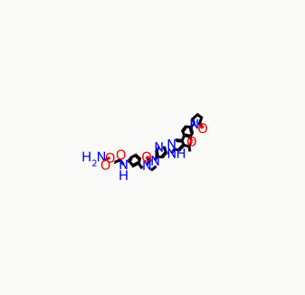 CC1Oc2cc(N3CCCC3=O)ccc2-c2cnc(Nc3cncc(N4CCN(Cc5cccc(NC(=O)COC(N)=O)c5)C4=O)c3)cc21